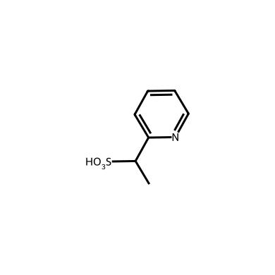 CC(c1ccccn1)S(=O)(=O)O